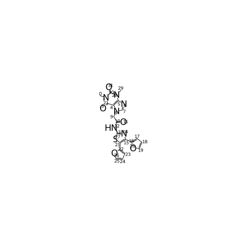 Cn1c(=O)c2c(ncn2CC(=O)Nc2nc(-c3ccco3)c(-c3ccco3)s2)n(C)c1=O